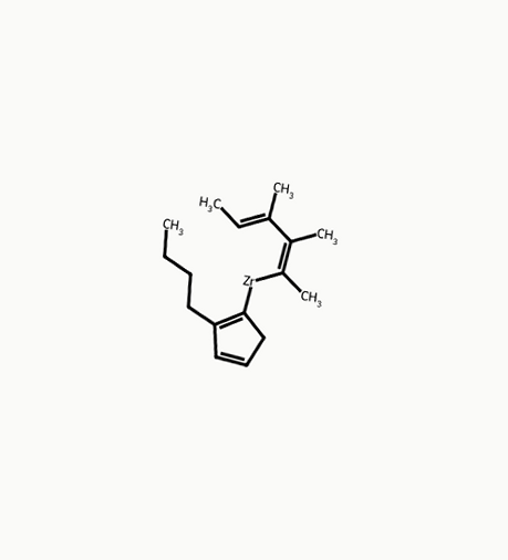 CC=C(C)C(C)=[C](C)[Zr][C]1=C(CCCC)C=CC1